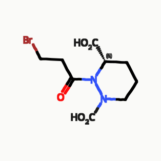 O=C(O)[C@@H]1CCCN(C(=O)O)N1C(=O)CCBr